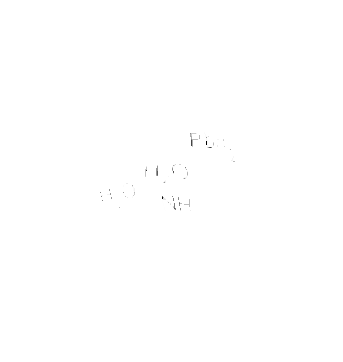 N.O.O.[PbH2]